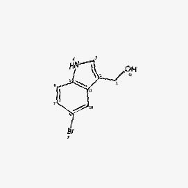 OCc1c[nH]c2ccc(Br)cc12